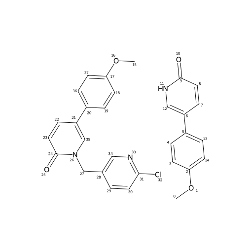 COc1ccc(-c2ccc(=O)[nH]c2)cc1.COc1ccc(-c2ccc(=O)n(Cc3ccc(Cl)nc3)c2)cc1